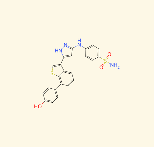 NS(=O)(=O)c1ccc(Nc2cc(-c3csc4c(-c5ccc(O)cc5)cccc34)[nH]n2)cc1